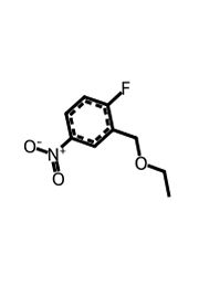 CCOCc1cc([N+](=O)[O-])ccc1F